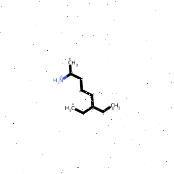 CCC(CC)CCCC(C)N